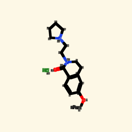 CCCCCOc1ccc2c(c1)CCN(CCN1CCCC1)C2=O.Cl